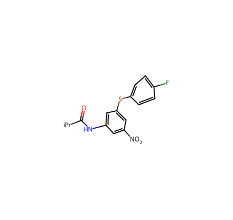 CC(C)C(=O)Nc1cc(Sc2ccc(F)cc2)cc([N+](=O)[O-])c1